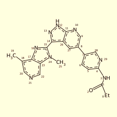 CCC(=O)Nc1ccc(-c2cnc3[nH]nc(-c4nc5c(C)cncc5n4C)c3c2)cn1